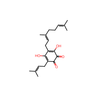 CC(C)=CCC/C(C)=C/CC1=C(O)C(=O)C(=O)C(CC=C(C)C)=C1O